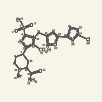 CCS(=O)(=O)c1nc(C2CCN(C(C)C)C(C(N)=O)C2)c(C(=O)O)n1Cc1cc(-c2ccc(Cl)s2)on1